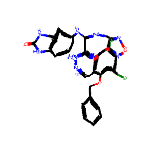 O=c1[nH]c2ccc(Nc3nc4nonc4nc3N/N=C\c3cc(Br)cc(Br)c3OCc3ccccc3)cc2[nH]1